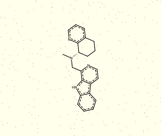 CN(Cc1nccc2c1[nH]c1ccccc12)[C@H]1CCCc2cccnc21